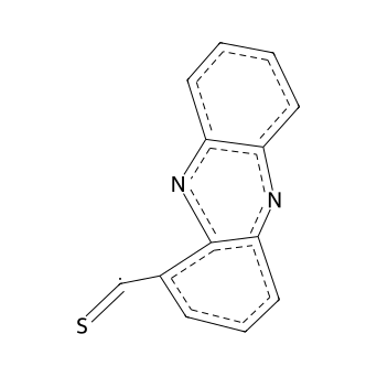 S=[C]c1cccc2nc3ccccc3nc12